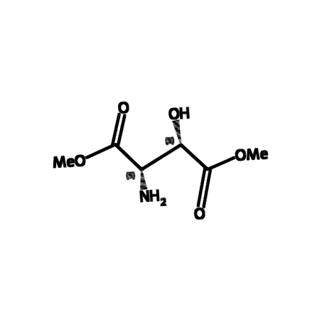 COC(=O)[C@@H](N)[C@H](O)C(=O)OC